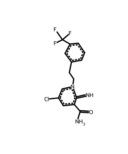 N=c1c(C(N)=O)cc(Cl)cn1CCc1cccc(C(F)(F)F)c1